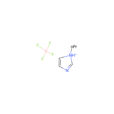 CCC[NH+]1C=CN=C1.F[B-](F)(F)F